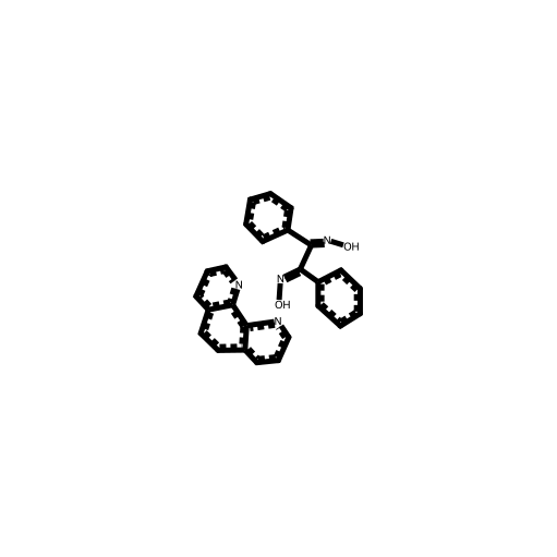 ON=C(C(=NO)c1ccccc1)c1ccccc1.c1cnc2c(c1)ccc1cccnc12